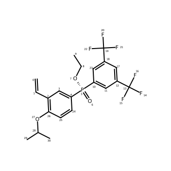 C=Cc1cc([P@@](=O)(OCC)c2cc(C(F)(F)F)cc(C(F)(F)F)c2)ccc1OC(C)C